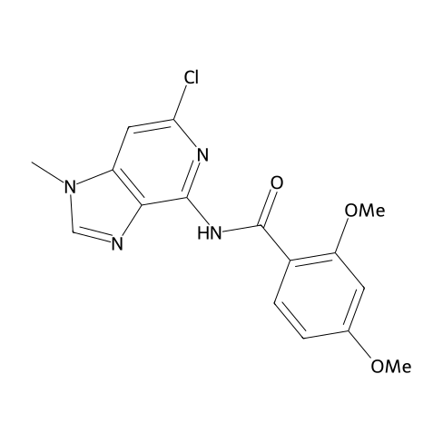 COc1ccc(C(=O)Nc2nc(Cl)cc3c2ncn3C)c(OC)c1